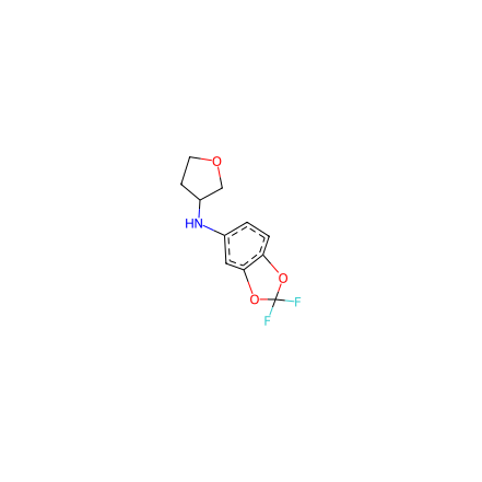 FC1(F)Oc2ccc(NC3CCOC3)cc2O1